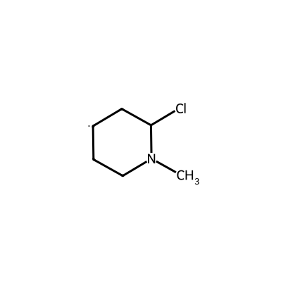 CN1CC[CH]CC1Cl